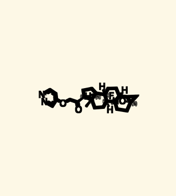 C[C@]12CC[C@H]3[C@@H](CC[C@@H]4C5C[C@@]5(O)CC[C@@]43F)[C@@H]1CC[C@@H]2C(=O)COc1ccnnc1